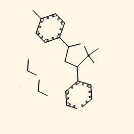 CC1(C)NC(c2ccc(Cl)cc2)CC1c1ccncc1.CCOCC.Cl